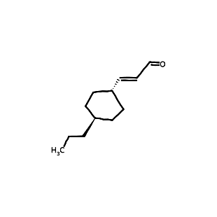 CCC[C@H]1CC[C@H](/C=C/C=O)CC1